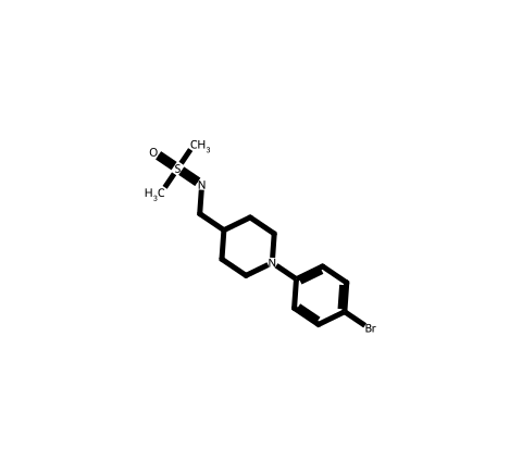 CS(C)(=O)=NCC1CCN(c2ccc(Br)cc2)CC1